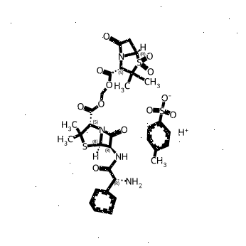 CC1(C)S[C@@H]2[C@H](NC(=O)[C@H](N)c3ccccc3)C(=O)N2[C@H]1C(=O)OCOC(=O)[C@@H]1N2C(=O)C[C@H]2S(=O)(=O)C1(C)C.Cc1ccc(S(=O)(=O)[O-])cc1.[H+]